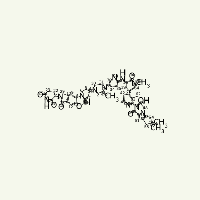 C[C@H]1CN([C@H]2CCN3c4cc5c(cc4OC[C@H]3C2)C(=O)N(C2CCC(=O)NC2=O)C5)CCN1c1ccc(Nc2cc(-c3ccnc(N4CCn5c(cc6c5CC(C)(C)C6)C4=O)c3CO)cn(C)c2=O)nc1